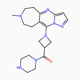 CN1CCc2nc3ccnn3c(N3CC(C(=O)N4CCNCC4)C3)c2CC1